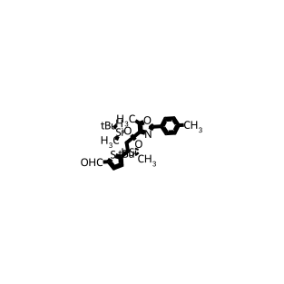 Cc1ccc(-c2nc(C(CCc3ccc(C=O)s3)(O[SiH](C)C(C)(C)C)O[SiH](C)C(C)(C)C)c(C)o2)cc1